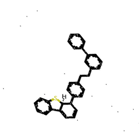 C1=CC(c2ccc(CCc3cccc(-c4ccccc4)c3)cc2)[C@@H]2Sc3ccccc3C2=C1